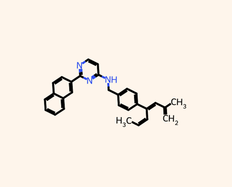 C=C(C)/C=C(\C=C/C)c1ccc(CNc2ccnc(-c3ccc4ccccc4c3)n2)cc1